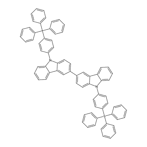 c1ccc(C(c2ccccc2)(c2ccccc2)c2ccc(-n3c4ccccc4c4cc(-c5ccc6c(c5)c5ccccc5n6-c5ccc(S(c6ccccc6)(c6ccccc6)c6ccccc6)cc5)ccc43)cc2)cc1